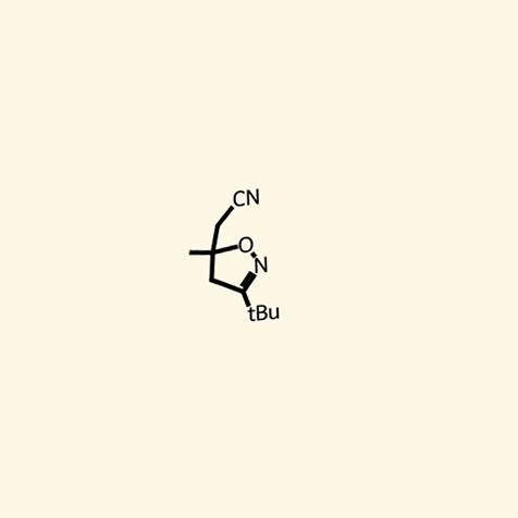 CC1(CC#N)CC(C(C)(C)C)=NO1